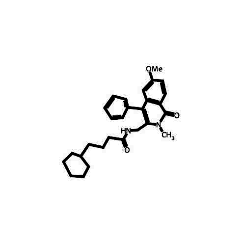 COc1ccc2c(=O)n(C)c(CNC(=O)CCCC3CCCCC3)c(-c3ccccc3)c2c1